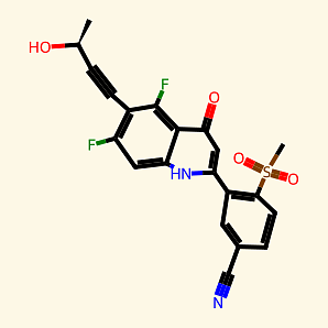 C[C@H](O)C#Cc1c(F)cc2[nH]c(-c3cc(C#N)ccc3S(C)(=O)=O)cc(=O)c2c1F